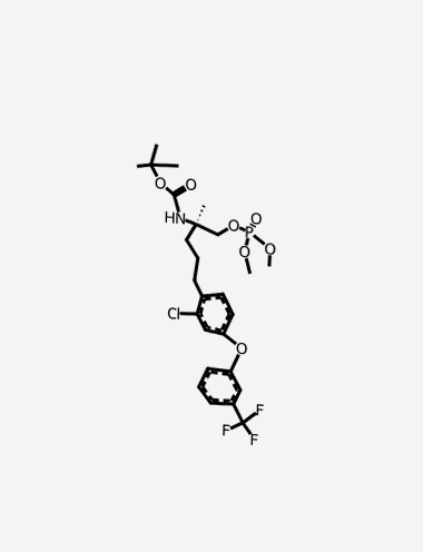 COP(=O)(OC)OC[C@@](C)(CCCc1ccc(Oc2cccc(C(F)(F)F)c2)cc1Cl)NC(=O)OC(C)(C)C